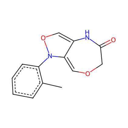 Cc1ccccc1N1OC=C2NC(=O)COC=C21